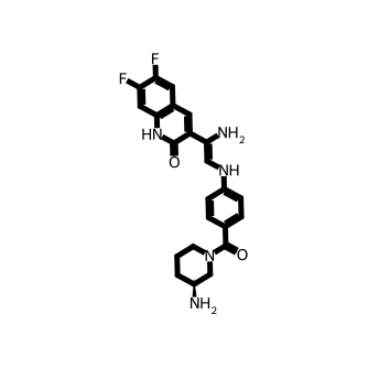 N/C(=C\Nc1ccc(C(=O)N2CCC[C@H](N)C2)cc1)c1cc2cc(F)c(F)cc2[nH]c1=O